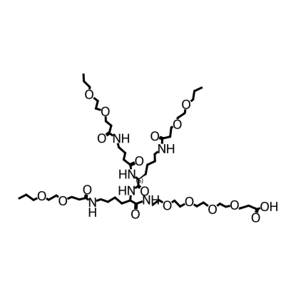 CCCOCCOCCC(=O)NCCCCC(NC(=O)[C@H](CCCCNC(=O)CCOCCOCCC)NC(=O)CCCNC(=O)CCOCCOCCC)C(=O)NCCOCCOCCOCCOCCC(=O)O